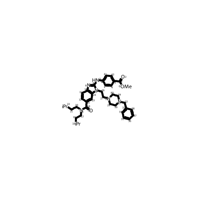 COC(=O)c1ccc(Nc2nc3ccc(C(=O)N(CCC(C)C)CCC(C)C)cc3n2CCN2CCN(Cc3ccccc3)CC2)cc1